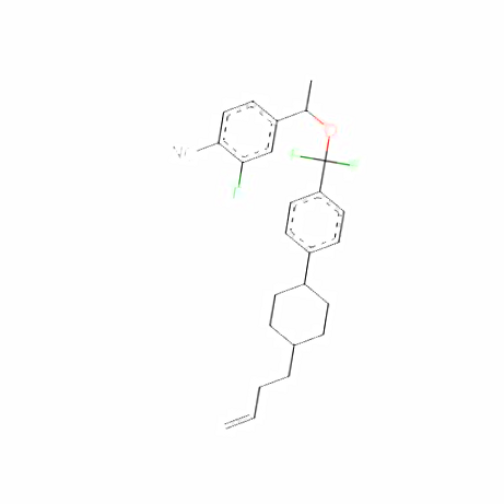 C=CCCC1CCC(c2ccc(C(F)(F)OC(C)c3ccc(C#N)c(F)c3)cc2)CC1